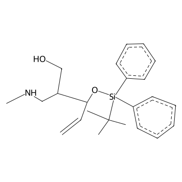 C=CC(O[Si](c1ccccc1)(c1ccccc1)C(C)(C)C)C(CO)CNC